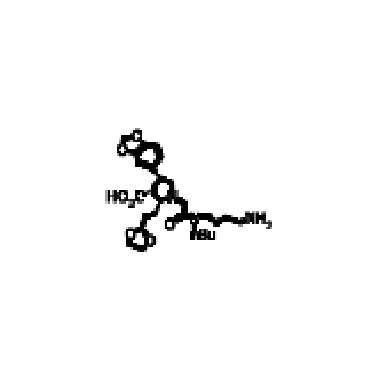 CCCCN(CCCCN)C(=O)CN1C[C@H](c2ccc3c(c2)OCO3)[C@@H](C(=O)O)[C@@H]1CCC1OCCO1